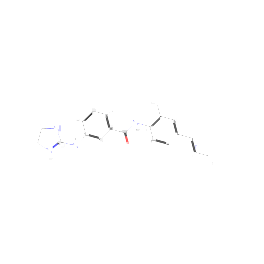 CCc1cc(/C=C/C(=O)O)ccc1NC(=O)c1cccc(NC2=NCCN2)c1